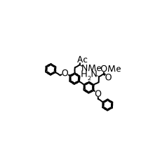 CN[C@@H](Cc1cc(-c2ccc(OCc3ccccc3)c(C[C@H](N)C(=O)OC)c2)ccc1OCc1ccccc1)C(C)=O